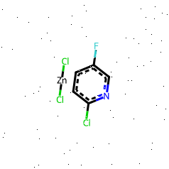 Fc1[c]nc(Cl)cc1.[Cl][Zn][Cl]